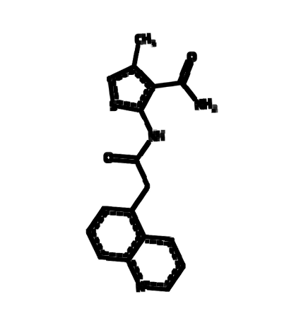 Cc1csc(NC(=O)Cc2cccc3ncccc23)c1C(N)=O